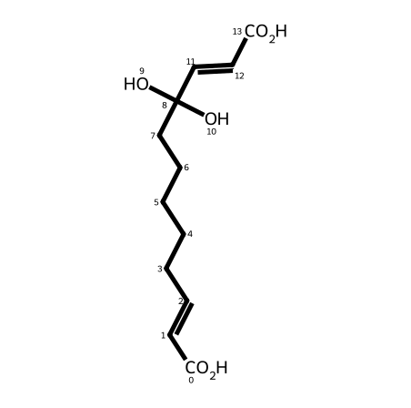 O=C(O)C=CCCCCCC(O)(O)C=CC(=O)O